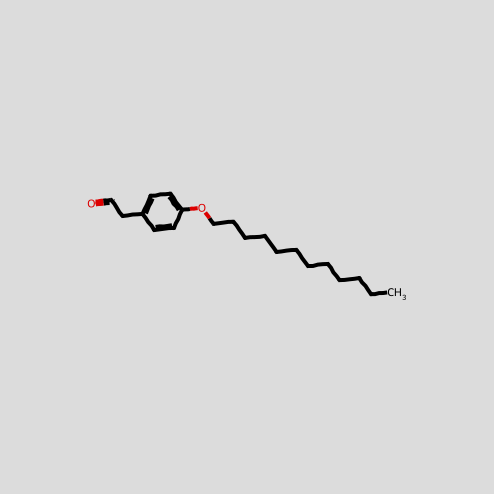 CCCCCCCCCCCCOc1ccc(C[C]=O)cc1